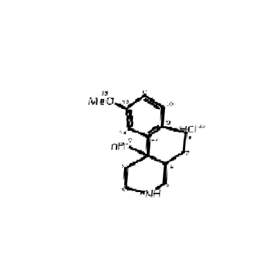 CCCC12CCNCC1CCc1ccc(OC)cc12.Cl